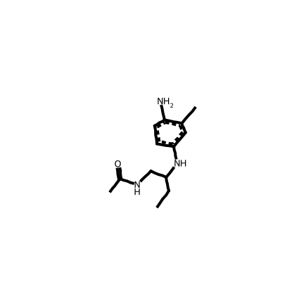 CCC(CNC(C)=O)Nc1ccc(N)c(C)c1